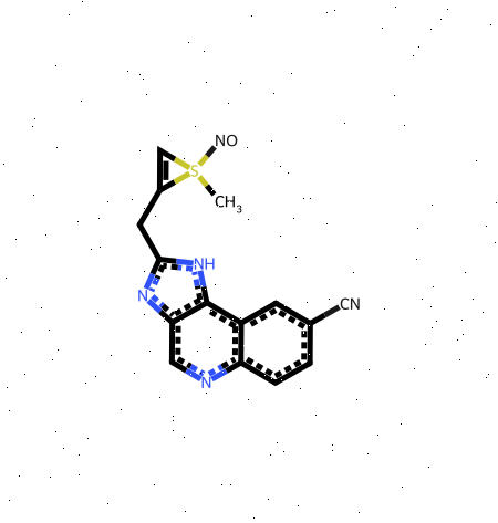 CS1(N=O)C=C1Cc1nc2cnc3ccc(C#N)cc3c2[nH]1